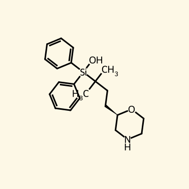 CC(C)(CC[C@@H]1CNCCO1)[Si](O)(c1ccccc1)c1ccccc1